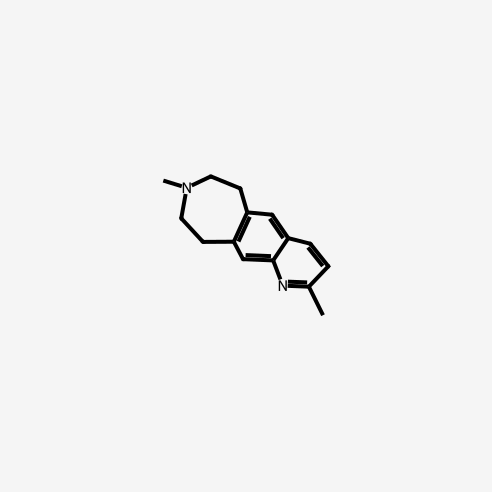 Cc1ccc2cc3c(cc2n1)CCN(C)CC3